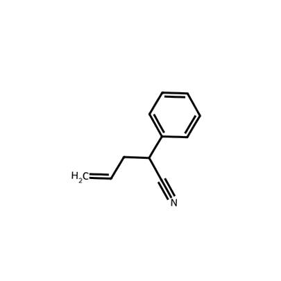 C=CCC(C#N)c1ccccc1